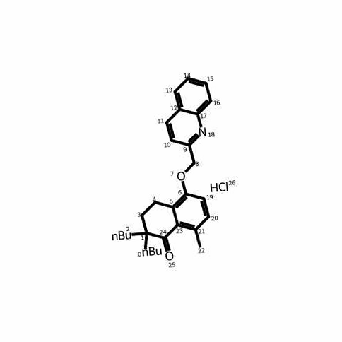 CCCCC1(CCCC)CCc2c(OCc3ccc4ccccc4n3)ccc(C)c2C1=O.Cl